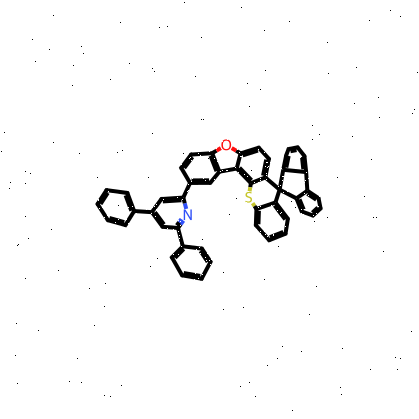 c1ccc(-c2cc(-c3ccccc3)nc(-c3ccc4oc5ccc6c(c5c4c3)Sc3ccccc3C63c4ccccc4-c4ccccc43)c2)cc1